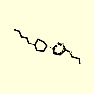 CCCCC[C@H]1CC[C@H](c2ccc(OCCC)nn2)CC1